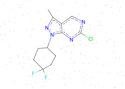 Cc1nn(C2CCC(F)(F)CC2)c2nc(Cl)ncc12